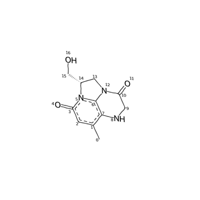 Cc1cc(=O)n2c3c1NCC(=O)N3C[C@H]2CO